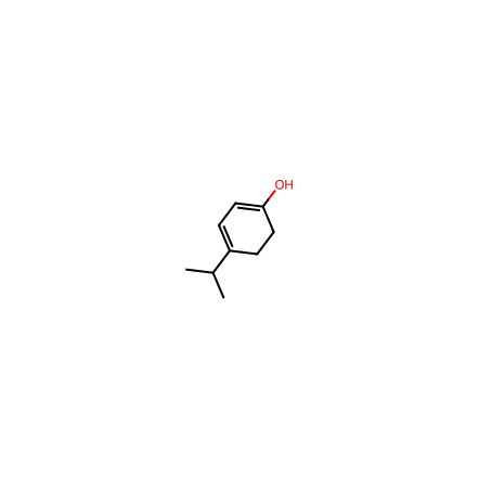 CC(C)C1=CC=C(O)CC1